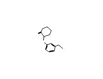 O=C1CCCCC1Sc1cccc(CO)c1